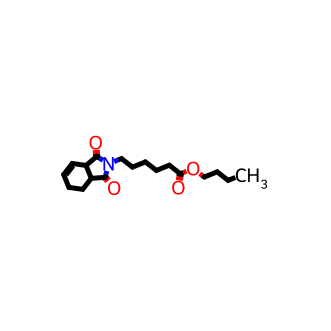 CCCCOC(=O)CCCCCN1C(=O)C2C=CCCC2C1=O